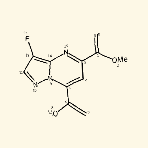 C=C(OC)c1cc(C(=C)O)n2ncc(F)c2n1